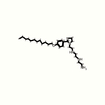 CCCCCCCCCCCCOc1ccc(C2=NCCN2CCNCCNCCN)cc1